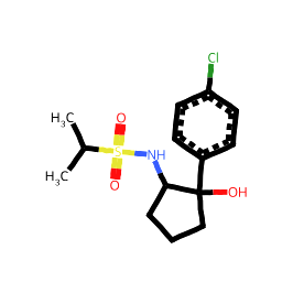 CC(C)S(=O)(=O)NC1CCCC1(O)c1ccc(Cl)cc1